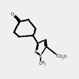 CCOC(=O)c1cc(C2CCC(=O)CC2)nn1C